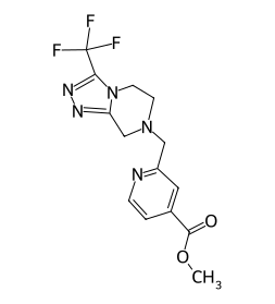 COC(=O)c1ccnc(CN2CCn3c(nnc3C(F)(F)F)C2)c1